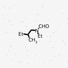 CCC(C)CN(C=O)CC